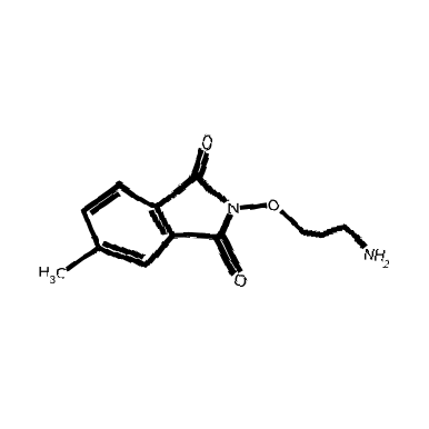 Cc1ccc2c(c1)C(=O)N(OCCN)C2=O